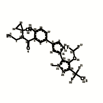 CC(C)CN(C(=O)c1cc(-c2cnn(-c3c(OC(F)F)c(C(F)(F)C(F)(F)F)nn3C)c2)ccc1Cl)C1(C#N)CC1